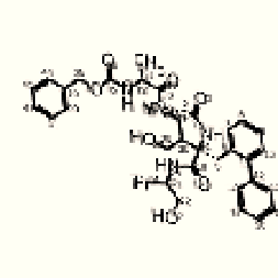 CCCCCC(=O)N[C@@](Cc1ccccc1-c1ccccc1)(C(=O)NC(CO)C(C)C)C(CO)CNC(=O)[C@H](C)NC(=O)OCc1ccccc1